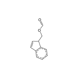 O=COCC1C=Cc2ccccc21